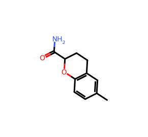 Cc1ccc2c(c1)CCC(C(N)=O)O2